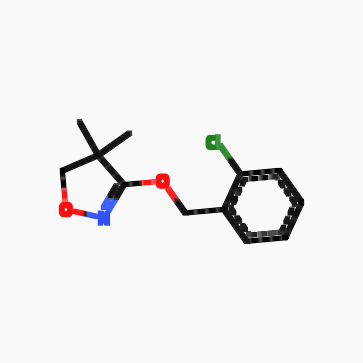 CC1(C)CON=C1OCc1ccccc1Cl